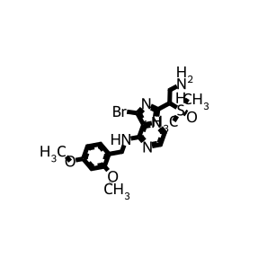 COc1ccc(CNc2nccn3c(C(CN)[SH](C)(C)=O)nc(Br)c23)c(OC)c1